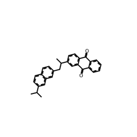 CC(C)c1ccc2ccc(CC(C)c3ccc4c(c3)C(=O)c3ccccc3C4=O)cc2c1